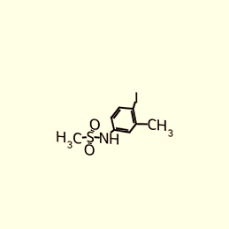 Cc1cc(NS(C)(=O)=O)ccc1I